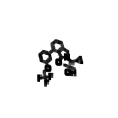 CC(C)(O)[C@@H](C1CC1)N1Cc2cccc(-c3cccc(OCC(F)(F)F)c3)c2C1=O